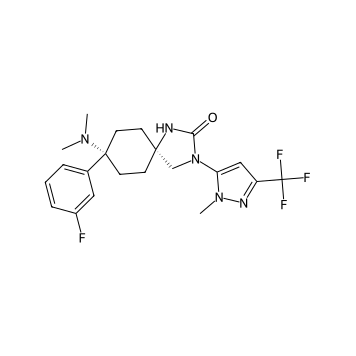 Cn1nc(C(F)(F)F)cc1N1C[C@]2(CC[C@@](c3cccc(F)c3)(N(C)C)CC2)NC1=O